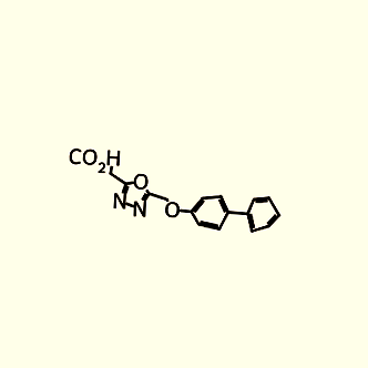 O=C(O)Cc1nnc(COc2ccc(-c3ccccc3)cc2)o1